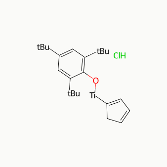 CC(C)(C)c1cc(C(C)(C)C)c([O][Ti][C]2=CC=CC2)c(C(C)(C)C)c1.Cl